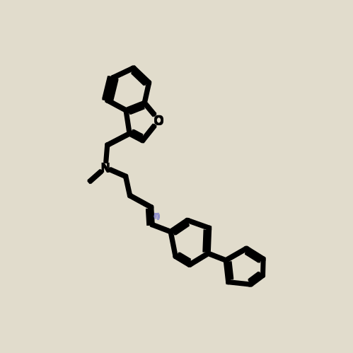 CN(CC/C=C/c1ccc(-c2ccccc2)cc1)Cc1coc2ccc#cc12